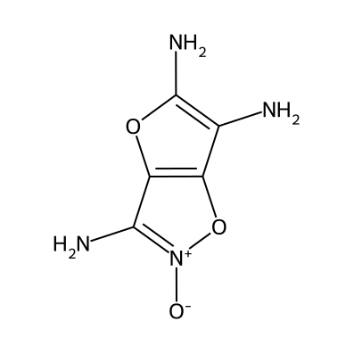 Nc1oc2c(N)[n+]([O-])oc2c1N